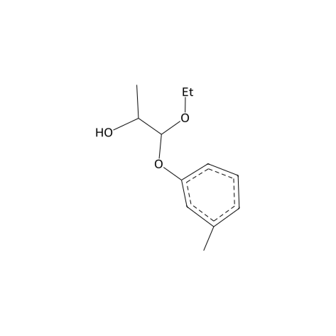 [CH2]COC(Oc1cccc(C)c1)C(C)O